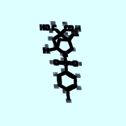 CCC12CC(CC)(CN1S(=O)(=O)c1ccc(C)cc1)C(C(=O)O)(C(=O)O)C2